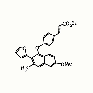 CCOC(=O)C=Cc1ccc(Oc2c(-c3ccco3)c(C)cc3cc(OC)ccc23)cc1